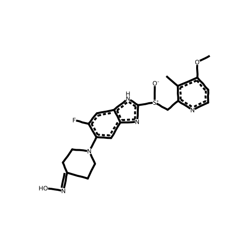 COc1ccnc(C[S+]([O-])c2nc3cc(N4CCC(=NO)CC4)c(F)cc3[nH]2)c1C